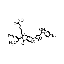 C=C/C(=C\C=C\F)n1c(CCCCC(=O)N=O)nc(=C/Cc2cc(C(O)c3ccc(CC)cn3)on2)/c(=C\CC)c1=O